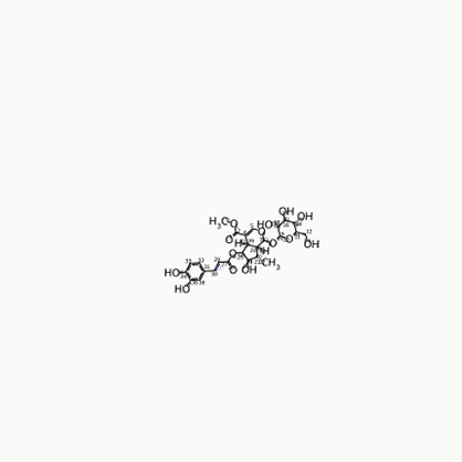 COC(=O)C1=CO[C@@H](O[C@@H]2O[C@H](CO)[C@@H](O)[C@H](O)[C@H]2O)[C@@H]2[C@H](C)[C@@H](O)[C@@H](OC(=O)/C=C/c3ccc(O)c(O)c3)[C@H]12